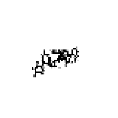 CC1=Cc2c(cccc2-c2ccc(C)cc2)[C]1C1=C(C)C=C2C(C3=CC=CC=CN3)=CC=C21